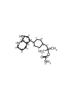 CC(C)(CC1CCC(c2c[nH]c3ncccc23)CC1)OC(N)=O